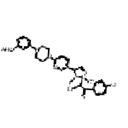 CCC(C(=O)c1ccc(Cl)cc1)[N+]1([O-])N=CC(c2ccc(N3CCN(c4cccc(OC)c4)CC3)nc2)N1I